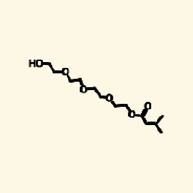 CC(C)=CC(=O)OCCOCCOCCOCCO